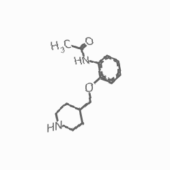 CC(=O)Nc1ccccc1OCC1CCNCC1